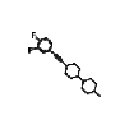 CC1CCC(C2CCC(C#Cc3ccc(F)c(F)c3)CC2)CC1